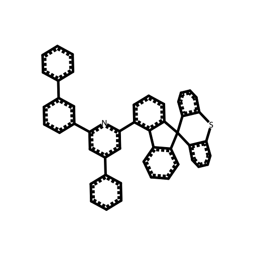 c1ccc(-c2cccc(-c3cc(-c4ccccc4)cc(-c4cccc5c4-c4ccccc4C54c5ccccc5Sc5ccccc54)n3)c2)cc1